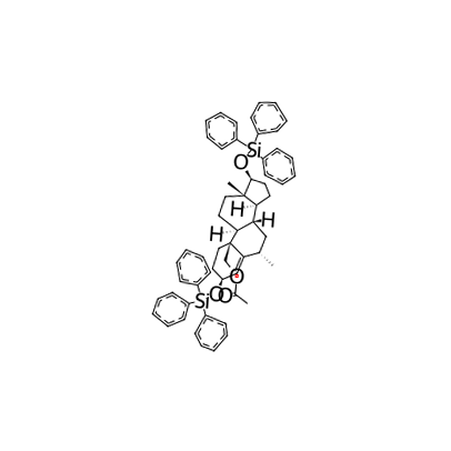 CC(=O)OC[C@]12CC[C@H](O[Si](c3ccccc3)(c3ccccc3)c3ccccc3)C=C1[C@@H](C)C[C@@H]1[C@@H]2CC[C@]2(C)[C@@H](O[Si](c3ccccc3)(c3ccccc3)c3ccccc3)CC[C@@H]12